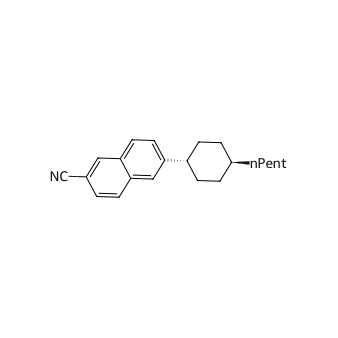 CCCCC[C@H]1CC[C@H](c2ccc3cc(C#N)ccc3c2)CC1